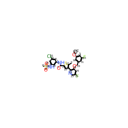 Cc1sc(C(=O)Nc2cc(Cl)cc(NS(C)(=O)=O)c2)cc1-c1ncc(F)cc1OCc1cc(F)cc(OC(F)(F)F)c1